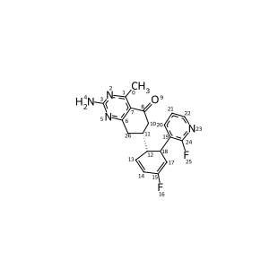 Cc1nc(N)nc2c1C(=O)C[C@H](C1C=CC(F)=CC1c1cccnc1F)C2